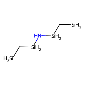 [SiH3]C[SiH2]N[SiH2]C[SiH3]